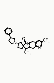 CC1C2Cc3ncc(C(F)(F)F)cc3CN2C(=O)[C@]12CC[C@@H](N1CCC(c3ccccc3)C1)C2